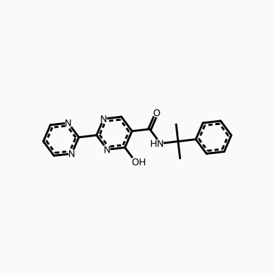 CC(C)(NC(=O)c1cnc(-c2ncccn2)nc1O)c1ccccc1